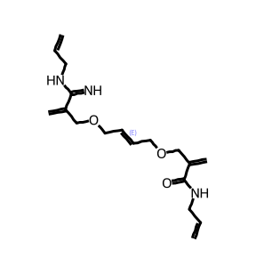 C=CCNC(=N)C(=C)COC/C=C/COCC(=C)C(=O)NCC=C